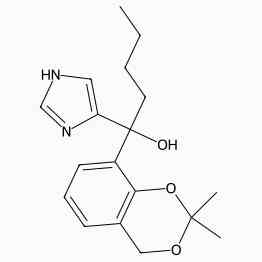 CCCCC(O)(c1c[nH]cn1)c1cccc2c1OC(C)(C)OC2